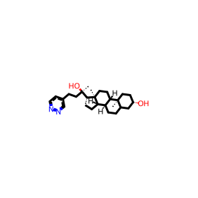 C[C@]12CC[C@H]3[C@@H](CCC4C[C@@H](O)CC[C@@]43C)[C@@H]1CC[C@@H]2[C@](C)(O)CCc1ccnnc1